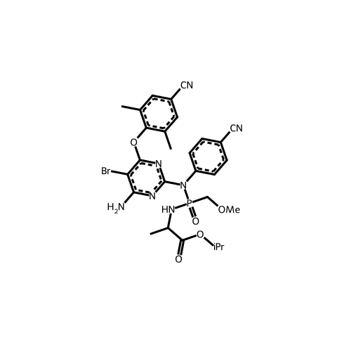 COCP(=O)(NC(C)C(=O)OC(C)C)N(c1ccc(C#N)cc1)c1nc(N)c(Br)c(Oc2c(C)cc(C#N)cc2C)n1